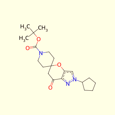 CC(C)(C)OC(=O)N1CCC2(CC1)CC(=O)c1nn(C3CCCC3)cc1O2